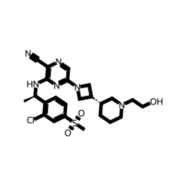 C[C@@H](Nc1nc(N2CC([C@H]3CCCN(CCO)C3)C2)cnc1C#N)c1ccc(S(C)(=O)=O)cc1Cl